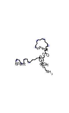 CCCCC/C=C\C/C=C\C/C=C\C/C=C\CCCC(=O)OCC(COP(=O)(O)OCCN)OC(=O)CCC/C=C\C/C=C\C/C=C\C/C=C\CCCCC